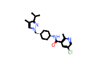 Cc1cn(C[C@H]2CC[C@H](NC(=O)c3cc(Cl)cnc3C)CC2)nc1C(C)C